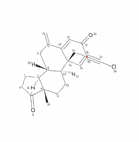 C=C1C[C@H]2[C@@H]3CCC(=O)[C@@]3(C)CC[C@@H]2[C@@]2(CC#CCl)C=CC(=O)C=C12